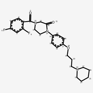 O=C(c1ccc(F)cc1F)N1CCN(c2ccc(OCCCN3CCCCC3)cc2)C(=O)C1